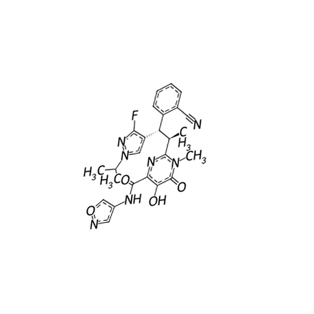 CC(C)n1cc([C@H](c2ccccc2C#N)[C@@H](C)c2nc(C(=O)Nc3cnoc3)c(O)c(=O)n2C)c(F)n1